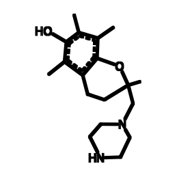 Cc1c(C)c2c(c(C)c1O)CCC(C)(CN1CCNCC1)O2